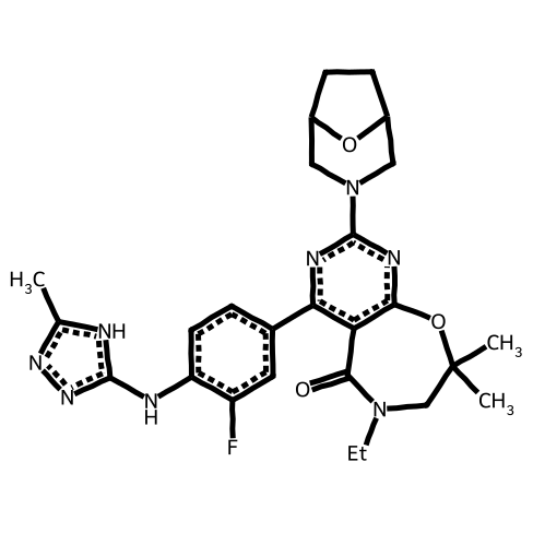 CCN1CC(C)(C)Oc2nc(N3CC4CCC(C3)O4)nc(-c3ccc(Nc4nnc(C)[nH]4)c(F)c3)c2C1=O